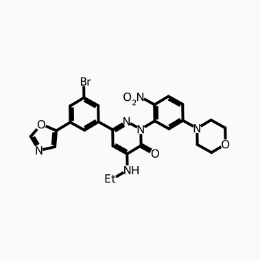 CCNc1cc(-c2cc(Br)cc(-c3cnco3)c2)nn(-c2cc(N3CCOCC3)ccc2[N+](=O)[O-])c1=O